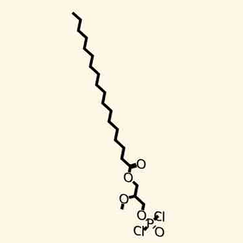 CCCCCCCCCCCCCCCCCC(=O)OCC(COP(=O)(Cl)Cl)OC